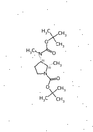 C[C@H]1[C@@H](N(C)C(=O)OC(C)(C)C)CCN1C(=O)OC(C)(C)C